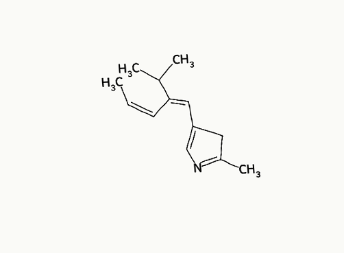 C/C=C\C(=C/C1=CN=C(C)C1)C(C)C